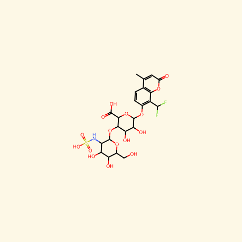 Cc1cc(=O)oc2c(C(F)F)c(OC3OC(C(=O)O)C(OC4OC(CO)C(O)C(O)C4NS(=O)(=O)O)C(O)C3O)ccc12